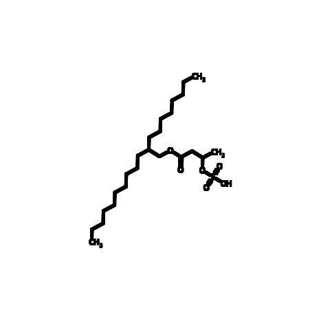 CCCCCCCCCCC(CCCCCCCC)COC(=O)CC(C)OS(=O)(=O)O